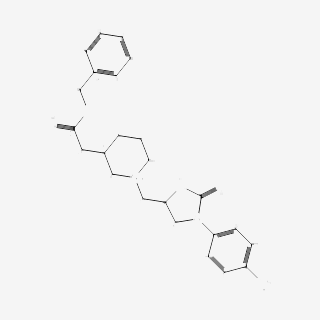 N#Cc1ccc(N2CC(CN3CCCC(CC(=O)OCc4ccccc4)C3)OC2=O)cc1